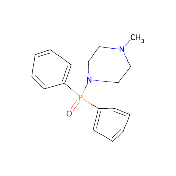 CN1CCN(P(=O)(c2ccccc2)c2ccccc2)CC1